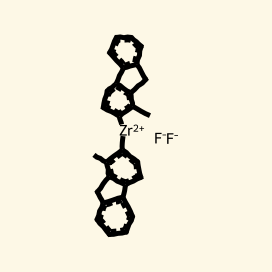 Cc1[c]([Zr+2][c]2ccc3c(c2C)Cc2ccccc2-3)ccc2c1Cc1ccccc1-2.[F-].[F-]